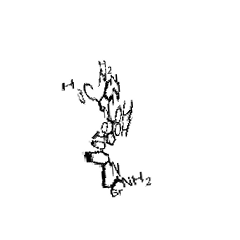 Cc1cn([C@@H]2O[C@@H]3[C@@H](Oc4ccc5cc(Br)c(N)nc5c4)CC[C@]3(O)[C@H]2O)c2ncnc(N)c12